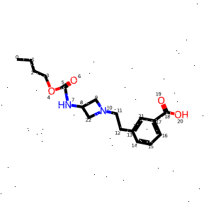 CCCCOC(=O)NC1CN(CCc2cccc(C(=O)O)c2)C1